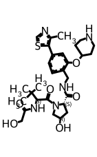 Cc1ncsc1-c1ccc(CNC(=O)[C@@H]2C[C@@H](O)CN2C(=O)[C@@H](NC(=O)CO)C(C)(C)C)c(OC2CCNCC2)c1